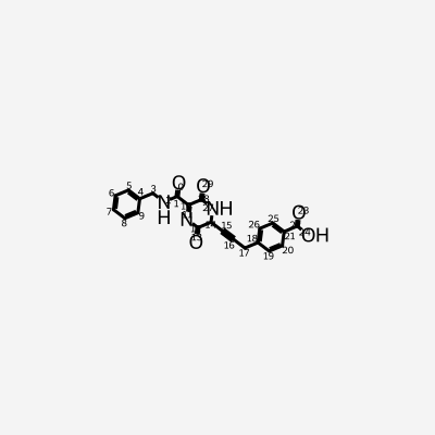 O=C(NCc1ccccc1)C1=NC(=O)C(C#CCc2ccc(C(=O)O)cc2)NC1=O